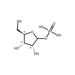 O=[As](O)(O)OC1O[C@H](CO)[C@@H](O)[C@H]1O